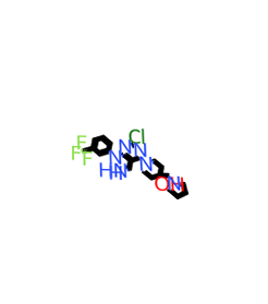 N=Cc1c(Nc2cccc(C(F)(F)F)c2)nc(Cl)nc1N1CCC(O)(CN2CCCC2)CC1